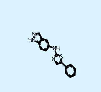 c1ccc(-c2cnc(Nc3ccc4[nH]ncc4c3)s2)cc1